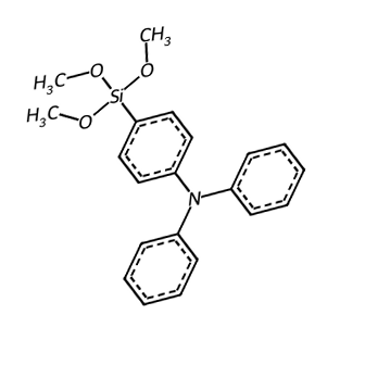 CO[Si](OC)(OC)c1ccc(N(c2ccccc2)c2ccccc2)cc1